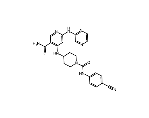 N#Cc1ccc(NC(=O)N2CCC(Nc3cc(Nc4cnccn4)ncc3C(N)=O)CC2)cc1